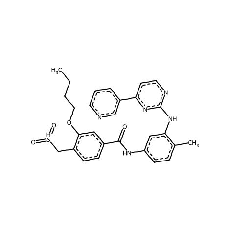 CCCCOc1cc(C(=O)Nc2ccc(C)c(Nc3nccc(-c4cccnc4)n3)c2)ccc1C[SH](=O)=O